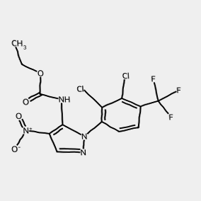 CCOC(=O)Nc1c([N+](=O)[O-])cnn1-c1ccc(C(F)(F)F)c(Cl)c1Cl